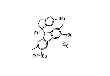 CCC1(C2c3cc(C)c(C(C)(C)C)cc3-c3cc(C(C)(C)C)c(C)cc32)CCC2=C1C=C(C(C)(C)C)C2.[Cl-].[Cl-].[Zr+2]